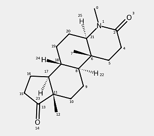 CN1C(=O)CC[C@]2(C)[C@H]3CC[C@]4(C)C(=O)CC[C@H]4[C@@H]3CC[C@@H]12